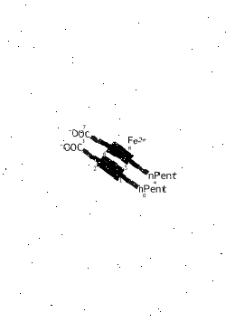 CCCCCC#CC(=O)[O-].CCCCCC#CC(=O)[O-].[Fe+2]